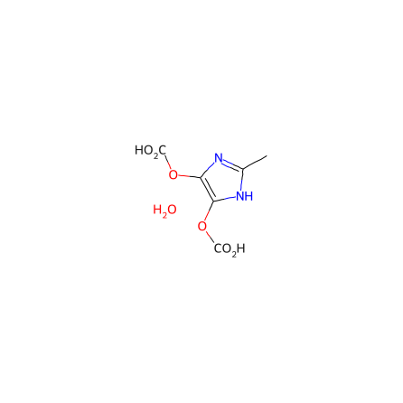 Cc1nc(OC(=O)O)c(OC(=O)O)[nH]1.O